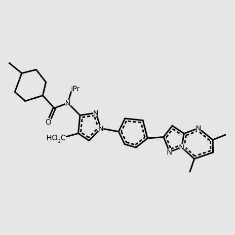 Cc1cc(C)n2nc(-c3ccc(-n4cc(C(=O)O)c(N(C(=O)C5CCC(C)CC5)C(C)C)n4)cc3)cc2n1